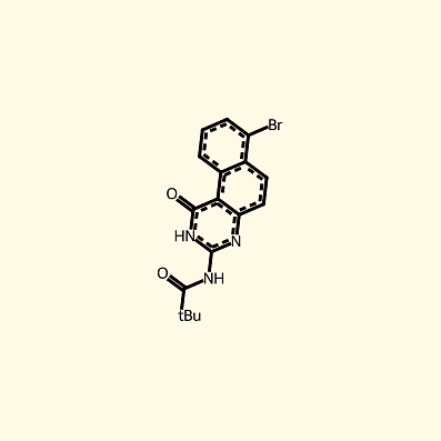 CC(C)(C)C(=O)Nc1nc2ccc3c(Br)cccc3c2c(=O)[nH]1